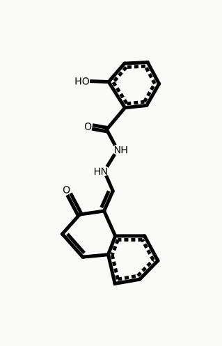 O=C1C=Cc2ccccc2/C1=C/NNC(=O)c1ccccc1O